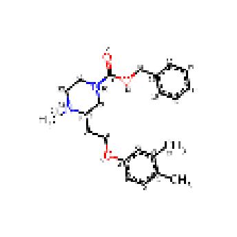 Cc1ccc(OCC[C@@H]2CN(C(=O)OCc3ccccc3)CCN2C)cc1C